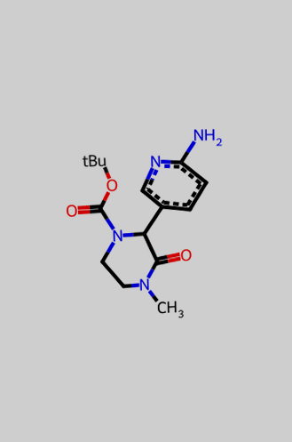 CN1CCN(C(=O)OC(C)(C)C)C(c2ccc(N)nc2)C1=O